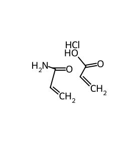 C=CC(=O)O.C=CC(N)=O.Cl